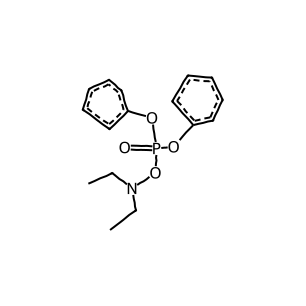 CCN(CC)OP(=O)(Oc1ccccc1)Oc1ccccc1